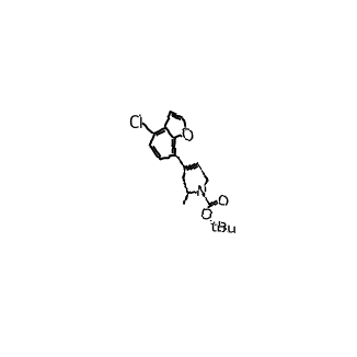 CC1CC(c2ccc(Cl)c3ccoc23)=CCN1C(=O)OC(C)(C)C